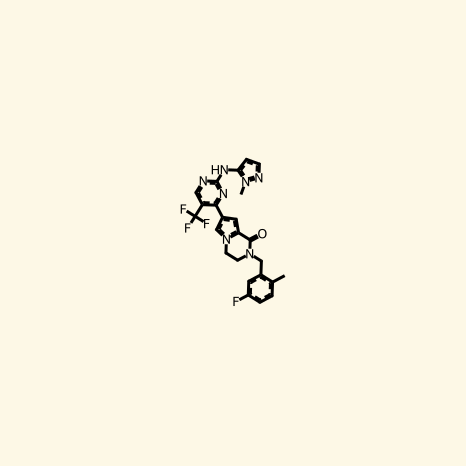 Cc1ccc(F)cc1CN1CCn2cc(-c3nc(Nc4ccnn4C)ncc3C(F)(F)F)cc2C1=O